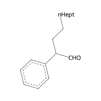 CCCCCCCCCC(C=O)c1ccccc1